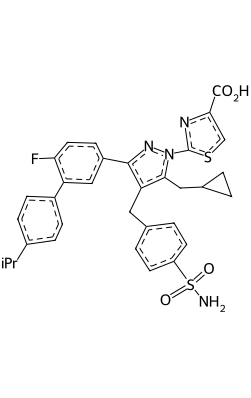 CC(C)c1ccc(-c2cc(-c3nn(-c4nc(C(=O)O)cs4)c(CC4CC4)c3Cc3ccc(S(N)(=O)=O)cc3)ccc2F)cc1